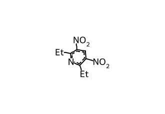 CCc1nc(CC)c([N+](=O)[O-])cc1[N+](=O)[O-]